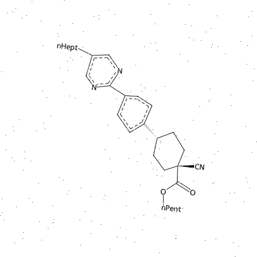 CCCCCCCc1cnc(-c2ccc([C@H]3CC[C@@](C#N)(C(=O)OCCCCC)CC3)cc2)nc1